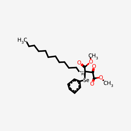 CCCCCCCCCCCC[C@]([Se]c1ccccc1)(C(=O)OC)C(=O)C(=O)OC